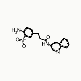 Nc1ccc(CCC(=O)Nc2cnc3ccccc3c2)cc1[N+](=O)[O-]